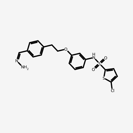 N/N=C\c1ccc(CCOc2cccc(NS(=O)(=O)c3ccc(Cl)s3)c2)cc1